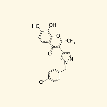 O=c1c(-c2cnn(Cc3ccc(Cl)cc3)c2)c(C(F)(F)F)oc2c(O)c(O)ccc12